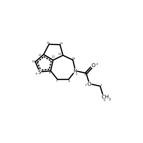 CCOC(=O)N1CCc2scc3c2C(CC3)C1